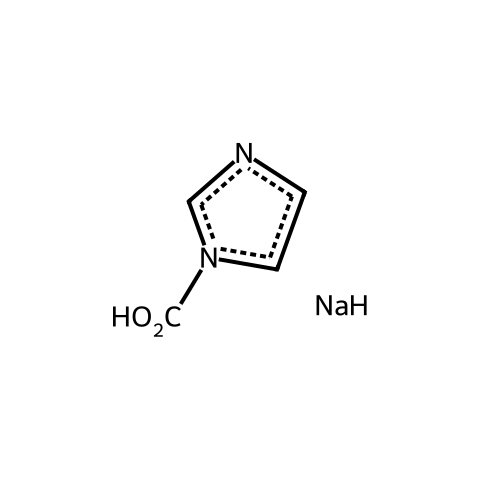 O=C(O)n1ccnc1.[NaH]